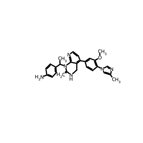 C=C1NCc2c(-c3ccc(-n4cnc(C)c4)c(OC)c3)ccnc2N1C(C)c1ccc(N)cc1